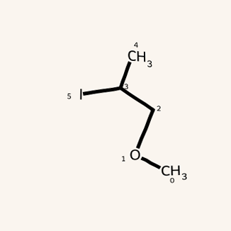 COCC(C)I